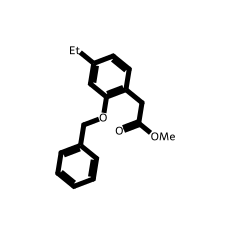 CCc1ccc(CC(=O)OC)c(OCc2ccccc2)c1